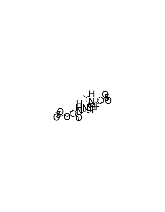 CC[C@@H](CNc1ccc(OCCS(C)(=O)=O)cc1OC)NC(=O)[C@H](CC(C)C)N[C@@H](c1ccc(S(C)(=O)=O)cc1)C(F)(F)F